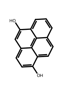 Oc1cc2ccc(O)c3ccc4cccc1c4c23